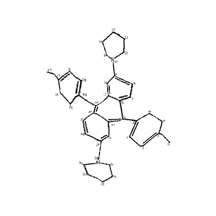 CC1=CC=C(c2c3ccc(N4CCCCC4)cc3c(C3=CC=C(C)CC3)c3ccc(N4CCCCC4)cc23)CC1